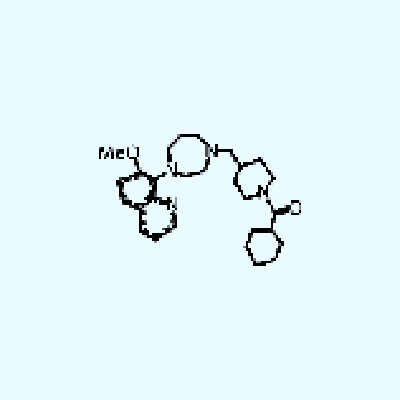 COc1ccc2cccnc2c1N1CCCN(CC2CCN(C(=O)C3CCCCC3)CC2)CC1